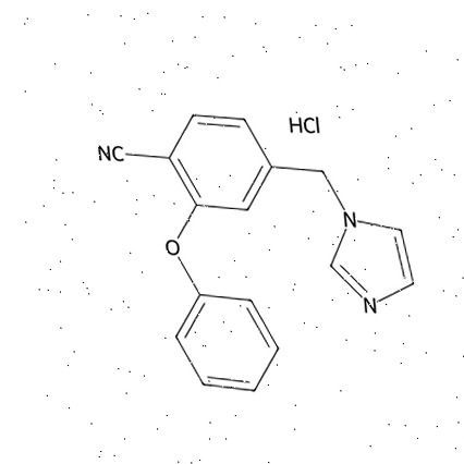 Cl.N#Cc1ccc(Cn2ccnc2)cc1Oc1ccccc1